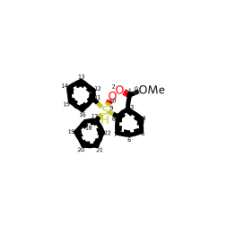 COC(=O)c1ccccc1[SH](=O)(c1ccccc1)c1ccccc1